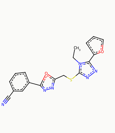 CCn1c(SCc2nnc(-c3cccc(C#N)c3)o2)nnc1-c1ccco1